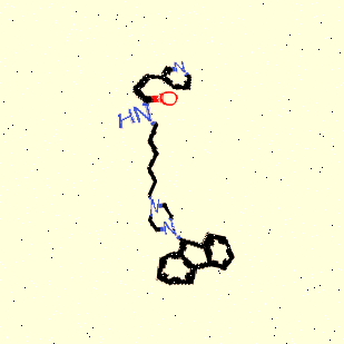 O=C(/C=C\c1cccnc1)NCCCCCCN1CCN(C2c3ccccc3-c3ccccc32)CC1